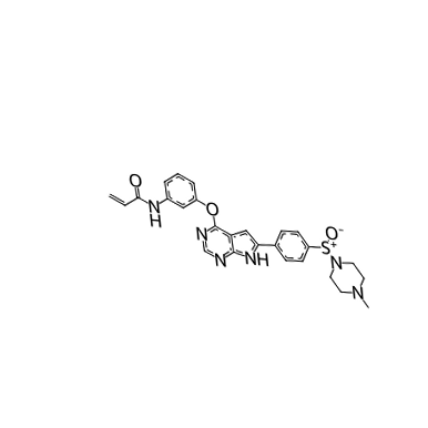 C=CC(=O)Nc1cccc(Oc2ncnc3[nH]c(-c4ccc([S+]([O-])N5CCN(C)CC5)cc4)cc23)c1